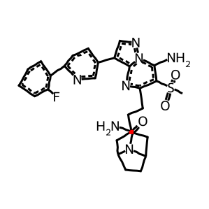 CS(=O)(=O)c1c(CCC2CC3CCC(C2)N3C(N)=O)nc2c(-c3ccc(-c4ccccc4F)nc3)cnn2c1N